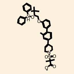 COC(=O)C(C)(C)S(=O)(=O)N1CC=C(c2ccc(-c3cccc(OCC(O[SiH](c4ccccc4)c4ccccc4)C(C)(C)C)c3)c(C)c2)CC1